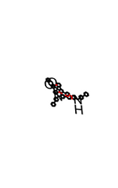 c1ccc(-c2ccc(Nc3ccc(-c4ccc(-c5ccc6c(c5)-c5ccccc5C65c6cc(N(c7ccc(-c8ccccc8)cc7)c7ccc(-c8ccccc8)cc7)ccc6-c6cc7c(cc65)Oc5ccccc5O7)cc4)cc3)cc2)cc1